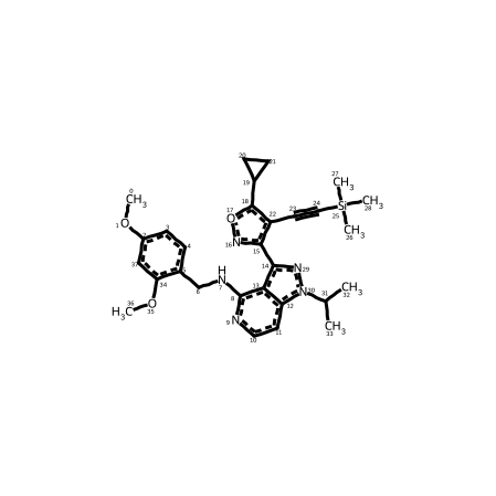 COc1ccc(CNc2nccc3c2c(-c2noc(C4CC4)c2C#C[Si](C)(C)C)nn3C(C)C)c(OC)c1